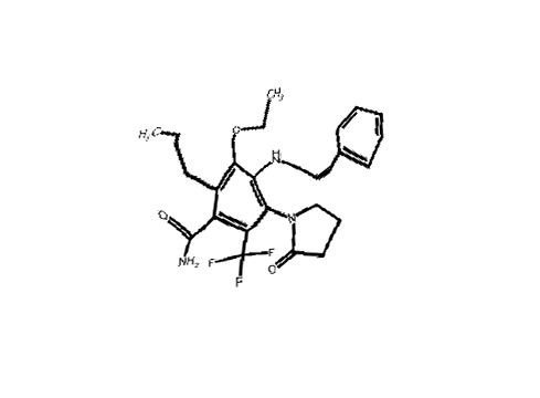 CCCc1c(OCC)c(NCc2ccccc2)c(N2CCCC2=O)c(C(F)(F)F)c1C(N)=O